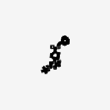 CC(C)(C)[Si](C)(C)CCN(C1CCC(C(=O)OCc2ccccc2)CC1)S(C)(=O)=O